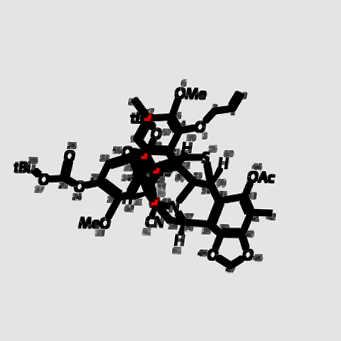 C=CCOc1c(OC)c(C)cc2c1[C@@H]1C3[C@@H]4SC[C@]5(NCCc6cc(OC(=O)OC(C)(C)C)c(OC)cc65)C(=O)OC[C@@H](c5c6c(c(C)c(OC(C)=O)c54)OCO6)N3[C@@H](C#N)[C@H](C2)N1C(=O)OC(C)(C)C